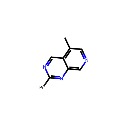 Cc1cncc2nc(C(C)C)ncc12